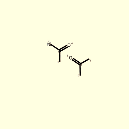 CC(C)=O.C[C](=O)[Ni]